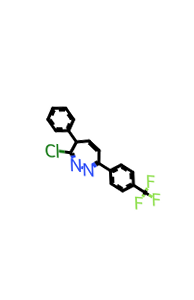 FC(F)(F)c1ccc(C2=NN=C(Cl)C(c3ccccc3)C=C2)cc1